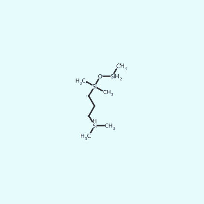 C[SiH2]O[Si](C)(C)[CH]CC[SiH](C)C